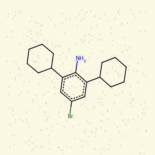 Nc1c(C2CCCCC2)cc(Br)cc1C1CCCCC1